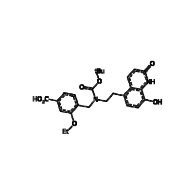 CCOc1cc(C(=O)O)ccc1CN(CCc1ccc(O)c2[nH]c(=O)ccc12)C(=O)OC(C)(C)C